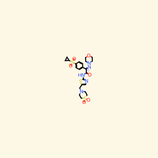 O=C(Nc1ncc(CN2CCS(=O)(=O)CC2)s1)/C(=N/N1CCOCC1)c1ccc(S(=O)(=O)C2CC2)cc1